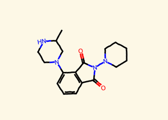 CC1CN(c2cccc3c2C(=O)N(N2CCCCC2)C3=O)CCN1